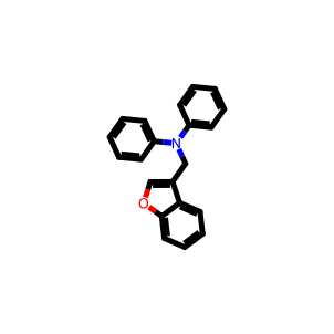 c1ccc(N(Cc2coc3ccccc23)c2ccccc2)cc1